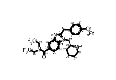 CCOc1ccc(Cc2nc3cc(C(=O)N(CC(F)(F)F)CC(F)(F)F)ccc3n2C[C@@H]2CCCCN2)cc1